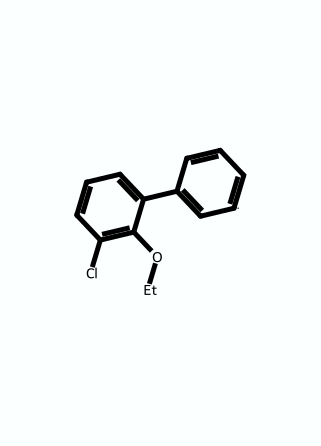 CCOc1c(Cl)cccc1-c1c[c]ccc1